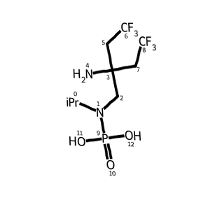 CC(C)N(CC(N)(CC(F)(F)F)CC(F)(F)F)P(=O)(O)O